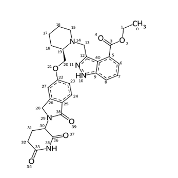 CCOC(=O)c1cccc2[nH]nc(CN3CCCC[C@@H]3COc3ccc4c(c3)CN(C3CCC(=O)NC3=O)C4=O)c12